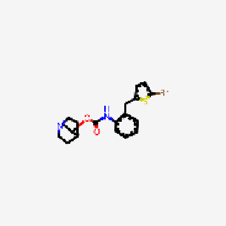 O=C(Nc1ccccc1Cc1ccc(Br)s1)OC1CN2CCC1CC2